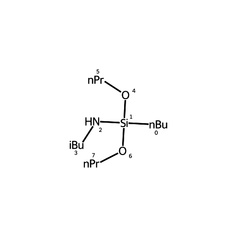 CCCC[Si](NC(C)CC)(OCCC)OCCC